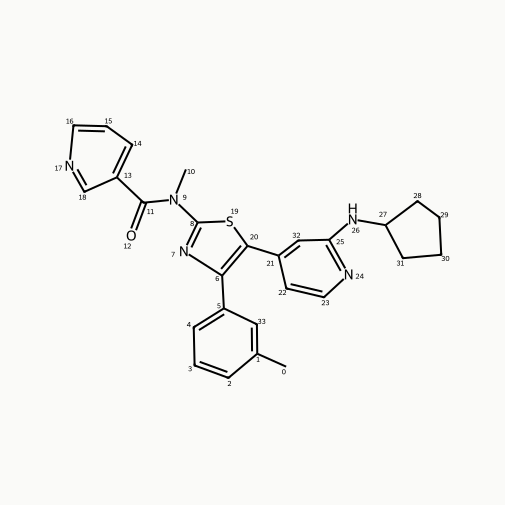 Cc1cccc(-c2nc(N(C)C(=O)c3cccnc3)sc2-c2ccnc(NC3CCCC3)c2)c1